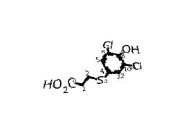 O=C(O)CCSc1cc(Cl)c(O)c(Cl)c1